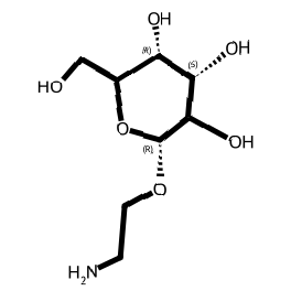 NCCO[C@@H]1OC(CO)[C@H](O)[C@H](O)C1O